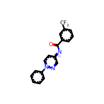 O=C(/N=c1\ccn(-c2ccccc2)nc1)c1cccc(C(F)(F)F)c1